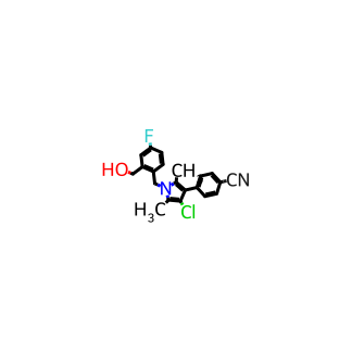 Cc1c(Cl)c(-c2ccc(C#N)cc2)c(C)n1Cc1ccc(F)cc1CO